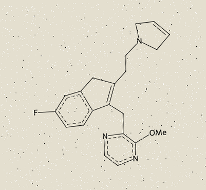 COc1nccnc1CC1=C(CCN2CC=CC2)Cc2cc(F)ccc21